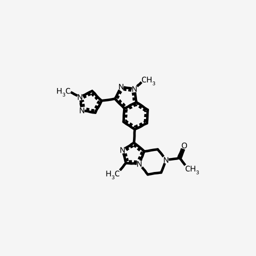 CC(=O)N1CCn2c(C)nc(-c3ccc4c(c3)c(-c3cnn(C)c3)nn4C)c2C1